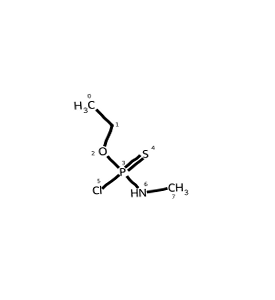 CCOP(=S)(Cl)NC